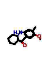 COc1cc(C(=O)C2CCCCC2)c(N)cc1C